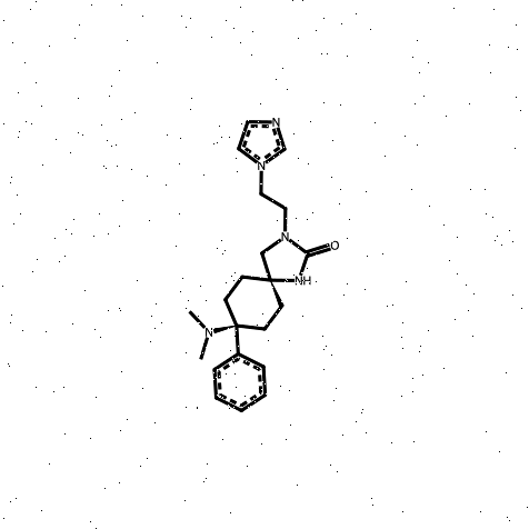 CN(C)[C@]1(c2ccccc2)CC[C@@]2(CC1)CN(CCn1ccnc1)C(=O)N2